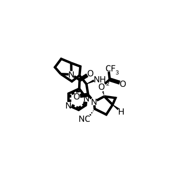 N#C[C@H]1C[C@H]2C[C@]2(OC(=O)C(F)(F)F)N1C(=O)[C@H](N)C1CC2CCC(C1)N2C(=O)c1cnccn1